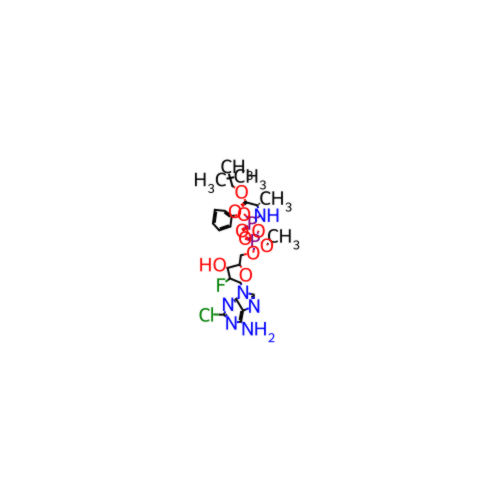 COP(=O)(OCC1OC(n2cnc3c(N)nc(Cl)nc32)C(F)C1O)OP(=O)(N[C@@H](C)C(=O)OCC(C)(C)C)Oc1ccccc1